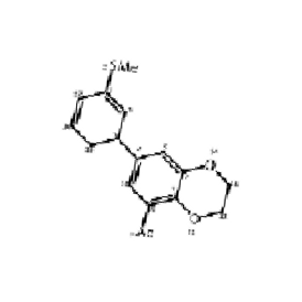 CSC1=CC(c2cc3c(c(C(C)=O)c2)OCCO3)CC=C1